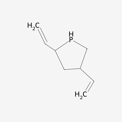 C=CC1CPC(C=C)C1